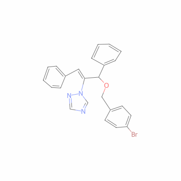 Brc1ccc(COC(C(=Cc2ccccc2)n2cncn2)c2ccccc2)cc1